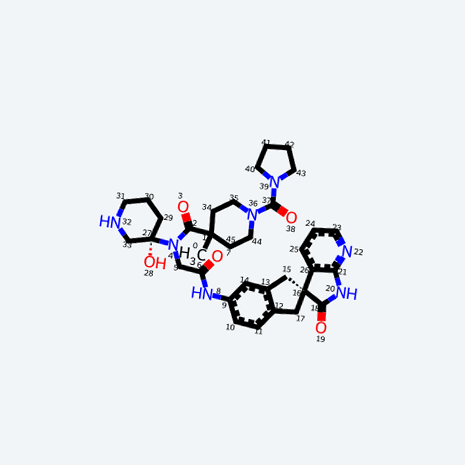 CC1(C(=O)N(CC(=O)Nc2ccc3c(c2)C[C@@]2(C3)C(=O)Nc3ncccc32)[C@]2(O)CCCNC2)CCN(C(=O)N2CCCC2)CC1